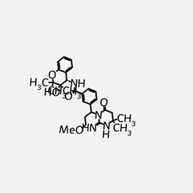 COCCC(c1cccc(C(=O)N[C@@H]2c3ccccc3OC(C)(C)[C@@]2(C)O)c1)N1C(=N)NC(C)(C)CC1=O